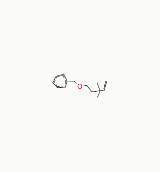 C=CC(C)(C)CCOCc1ccccc1